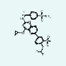 C[C@@H](Nc1nc(OC2CC2)c2nc(-c3ccc(OC(F)F)c(S(C)(=O)=O)c3)ccc2n1)c1ccc(S(N)(=O)=O)cc1